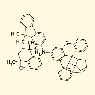 CC1(C)CCC(C)(C)c2c(N(c3cc4c(c(-c5ccccc5)c3)C3(c5ccccc5S4)C4CC5CC6CC3C64C5)c3ccc4c(c3)C(C)(C)c3ccccc3-4)cccc21